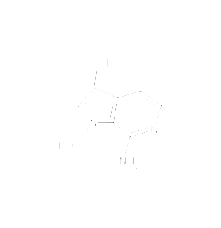 Cc1cn(C)c2c(N)nccc12